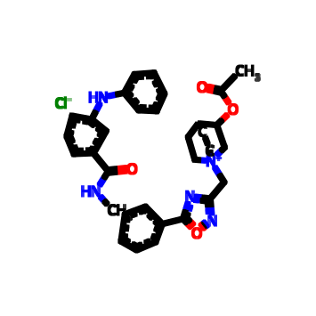 CC(=O)OC1C[N+]2(Cc3noc(-c4ccccc4)n3)CCC1CC2.CNC(=O)c1cccc(Nc2ccccc2)c1.[Cl-]